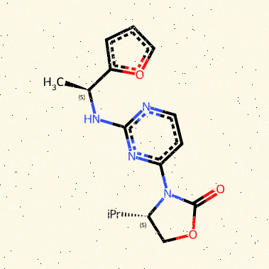 CC(C)[C@H]1COC(=O)N1c1ccnc(N[C@@H](C)c2ccco2)n1